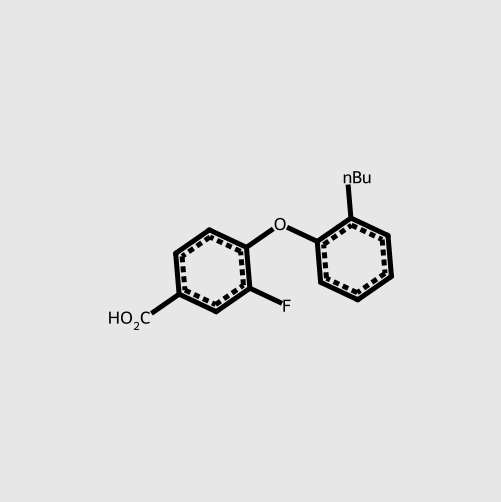 CCCCc1ccccc1Oc1ccc(C(=O)O)cc1F